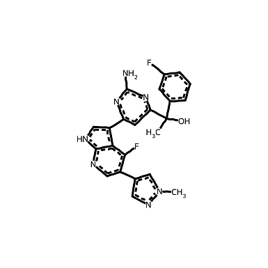 Cn1cc(-c2cnc3[nH]cc(-c4cc(C(C)(O)c5cccc(F)c5)nc(N)n4)c3c2F)cn1